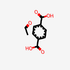 CC=O.O=C(O)c1ccc(C(=O)O)cc1